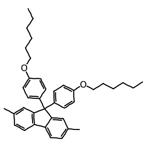 CCCCCCOc1ccc(C2(c3ccc(OCCCCCC)cc3)c3cc(C)ccc3-c3ccc(C)cc32)cc1